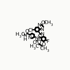 CNC(=O)c1ccc(NC(=O)O[C@H](C)[C@H](C)Oc2cc3sc(-c4cc(Cl)cc5nc(OC)cnc45)nc3cc2F)cn1